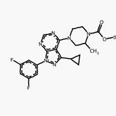 CC1CN(c2ncnc3c2c(C2CC2)nn3-c2cc(F)cc(F)c2)CCN1C(=O)OC(C)(C)C